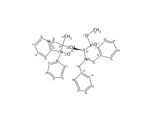 COC(=O)[C@H](CO[Si](c1ccccc1)(c1ccccc1)C(C)(C)C)N(Cc1ccccc1)Cc1ccccc1